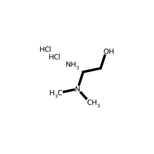 CN(C)CCO.Cl.Cl.N